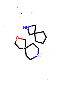 C1CC2(CCN1)CCOC2.C1CCC2(C1)CNC2